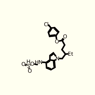 CCC(CCC(=O)Oc1ccc(Cl)cc1)Cn1ccc2c(NCO[SH](=O)=O)cccc21